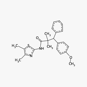 COc1ccc(C(c2ccccc2)C(C)(C)C(=O)Nc2nc(C)c(C)s2)cc1